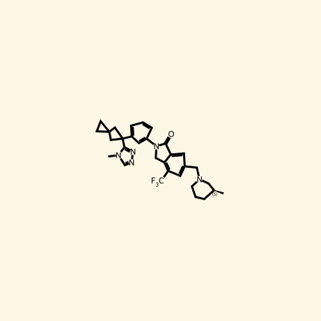 C[C@H]1CCCN(Cc2cc3c(c(C(F)(F)F)c2)CN(c2cccc(C4(c5nncn5C)CC5(CC5)C4)c2)C3=O)C1